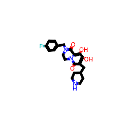 O=C1c2c(O)c(O)c(CC3CCNCC3)c(=O)n2CCN1Cc1ccc(F)cc1